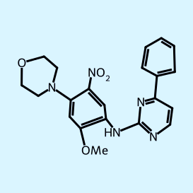 COc1cc(N2CCOCC2)c([N+](=O)[O-])cc1Nc1nccc(-c2ccccc2)n1